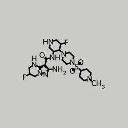 CN1CCC(S(=O)(=O)N2CCN(C3C(F)CNCC3NC(=O)c3c(N)nn4c3NCC(F)C4)CC2)CC1